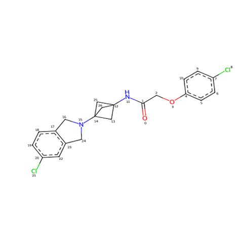 O=C(COc1ccc(Cl)cc1)NC12CC(N3Cc4ccc(Cl)cc4C3)(C1)C2